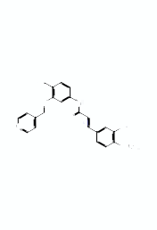 COc1ccc(/C=C/C(=O)Nc2ccc(Cl)c(OCc3ccncc3)c2)cc1O